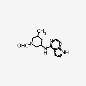 CC1CC(Nc2ncnc3[nH]ccc23)CN(C=O)C1